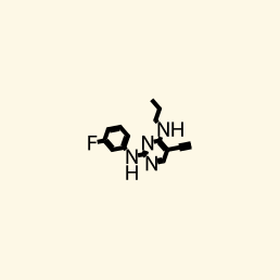 C#Cc1cnc(Nc2cccc(F)c2)nc1NCCC